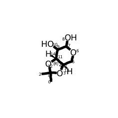 CC1(C)O[C@H]2COC(O)C(O)[C@H]2O1